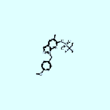 COc1ccc(Cn2ncc3cc(C)c(OS(=O)(=O)C(F)(F)F)nc32)cc1